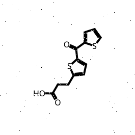 O=C(O)CCc1ccc(C(=O)c2cccs2)s1